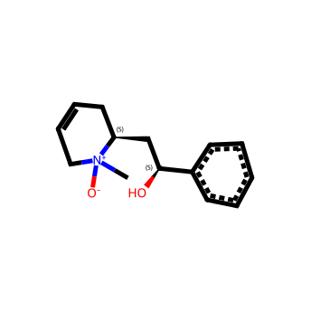 C[N+]1([O-])CC=CC[C@H]1C[C@H](O)c1ccccc1